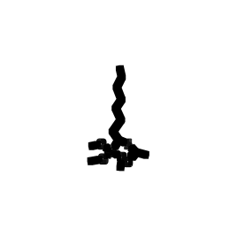 CCCCCCCC(SC(C)=O)[Si](OC)(OC)OC